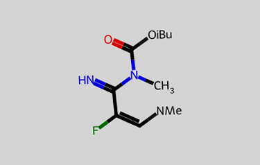 CN/C=C(/F)C(=N)N(C)C(=O)OCC(C)C